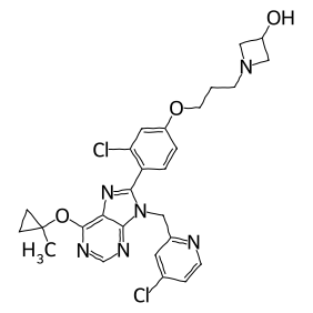 CC1(Oc2ncnc3c2nc(-c2ccc(OCCCN4CC(O)C4)cc2Cl)n3Cc2cc(Cl)ccn2)CC1